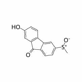 C[S+]([O-])c1ccc2c(c1)-c1ccc(O)cc1C2=O